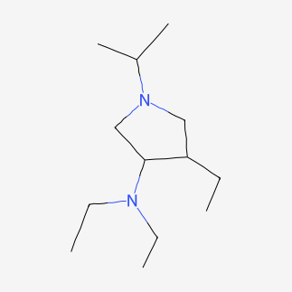 CCC1CN(C(C)C)CC1N(CC)CC